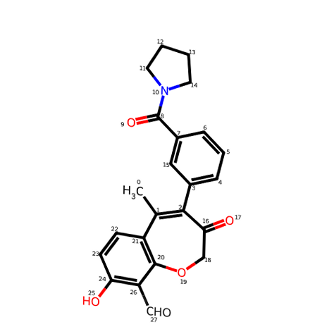 CC1=C(c2cccc(C(=O)N3CCCC3)c2)C(=O)COc2c1ccc(O)c2C=O